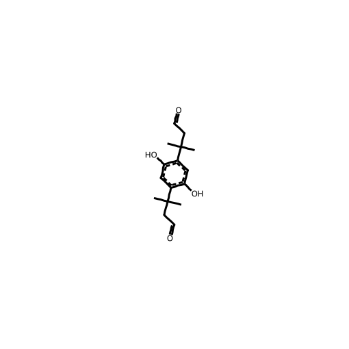 CC(C)(CC=O)c1cc(O)c(C(C)(C)CC=O)cc1O